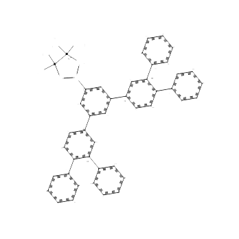 CC1(C)OB(c2cc(-c3ccc(-c4ccccc4)c(-c4ccccc4)c3)cc(-c3ccc(-c4ccccc4)c(-c4ccccc4)c3)c2)OC1(C)C